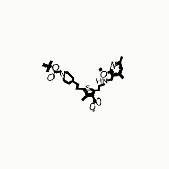 COC(=O)c1c(CCCNCc2c(C)cc(C)nc2OC)sc(CCC2CCN(C(=O)OC(C)(C)C)CC2)c1C